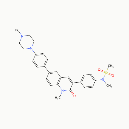 CC(C)N1CCN(c2ccc(-c3ccc4c(c3)cc(-c3ccc(N(C)S(C)(=O)=O)cc3)c(=O)n4C)cc2)CC1